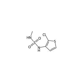 CNS(=O)(=O)Nc1ccsc1Cl